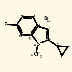 Fc1ccc2cc(C3CC3)[s+](C(F)(F)F)c2c1.[Br-]